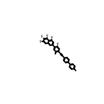 Cc1ccc(-c2ccc(C#Cc3cc(F)c(-c4cc(F)c5c(F)c(F)c(F)cc5c4)cc3C)cc2)cc1